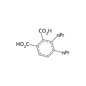 CCCc1ccc(C(=O)O)c(C(=O)O)c1CCC